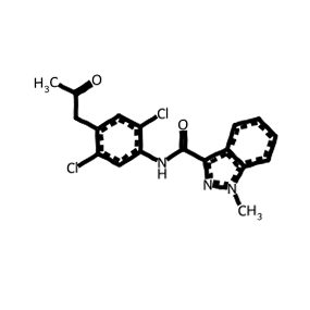 CC(=O)Cc1cc(Cl)c(NC(=O)c2nn(C)c3ccccc23)cc1Cl